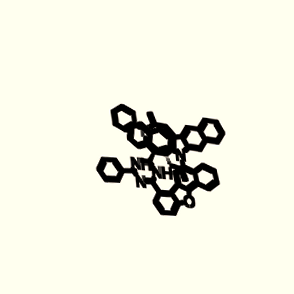 C=CC[C@H]1C/C=C\C(=C)N(c2ccccc2)C[C@@H]1C(C)N/C(=N\C(=N)c1ccccc1)c1cccc2oc3c4ccccc4c(-n4c5cc6ccccc6cc5c5cc6ccccc6cc54)cc3c12